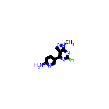 Cn1ncc2c(-c3ccc(N)nc3)nc(Cl)nc21